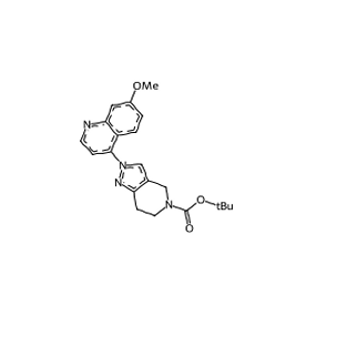 COc1ccc2c(-n3cc4c(n3)CCN(C(=O)OC(C)(C)C)C4)ccnc2c1